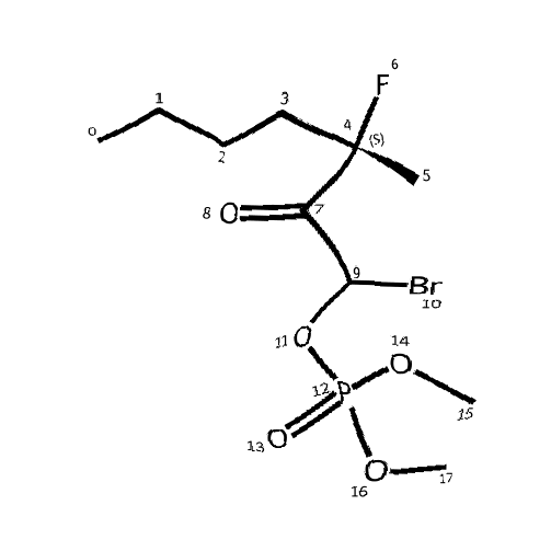 CCCC[C@](C)(F)C(=O)C(Br)OP(=O)(OC)OC